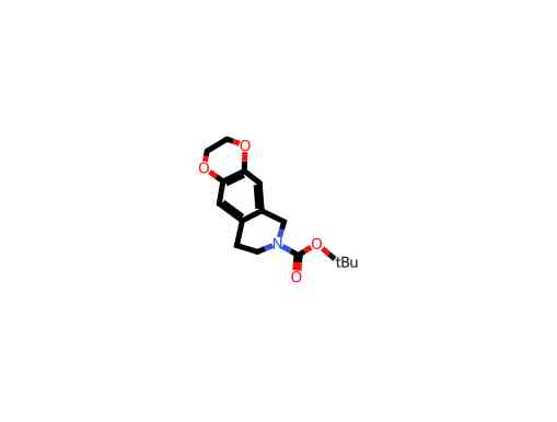 CC(C)(C)OC(=O)N1CCc2cc3c(cc2C1)OCCO3